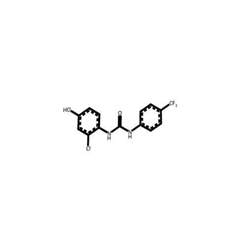 O=C(Nc1ccc(C(F)(F)F)cc1)Nc1ccc(O)cc1Cl